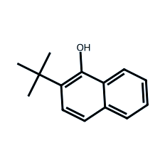 CC(C)(C)c1ccc2ccccc2c1O